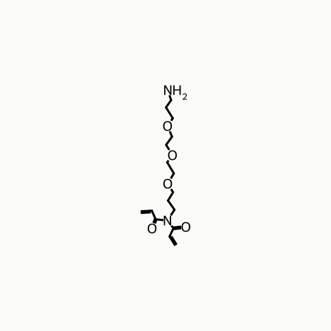 C=CC(=O)N(CCCOCCOCCOCCCN)C(=O)C=C